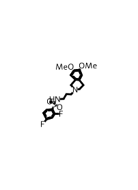 COc1cc2c(cc1OC)CN(CCCNS(=O)(=O)c1ccc(F)cc1F)CC2